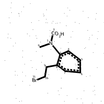 CN(C(=O)O)c1ccccc1CCBr